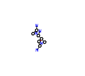 N#Cc1ccc2c(c1)c1ccccc1n2-c1ccc(-c2ccc(-c3ccccc3-n3c4ccccc4c4cc(C#N)ccc43)cc2)cc1C#N